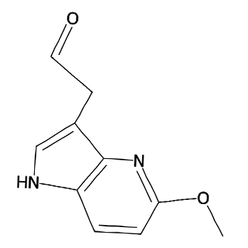 COc1ccc2[nH]cc(CC=O)c2n1